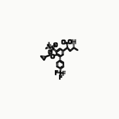 CC(C)CC(C(=O)O)c1cc(-c2ccc(C(F)(F)F)cc2)c(OCC2CC2)c(S(=O)(=O)N(C)C)c1